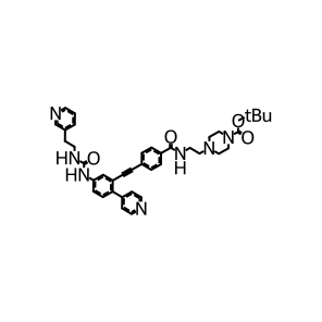 CC(C)(C)OC(=O)N1CCN(CCNC(=O)c2ccc(C#Cc3cc(NC(=O)NCCc4cccnc4)ccc3-c3ccncc3)cc2)CC1